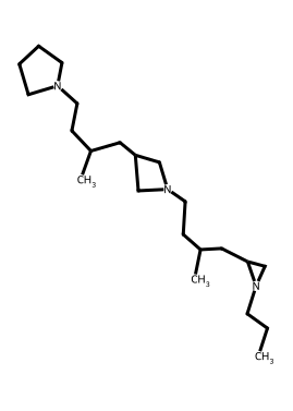 CCCN1CC1CC(C)CCN1CC(CC(C)CCN2CCCC2)C1